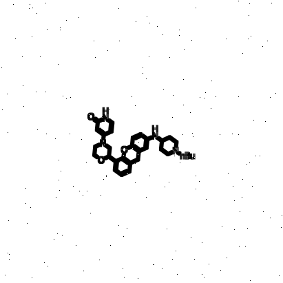 CCCCN1CCC(Nc2ccc3c(c2)Cc2cccc(C4CN(c5cc[nH]c(=O)c5)CCO4)c2O3)CC1